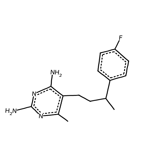 Cc1nc(N)nc(N)c1CCC(C)c1ccc(F)cc1